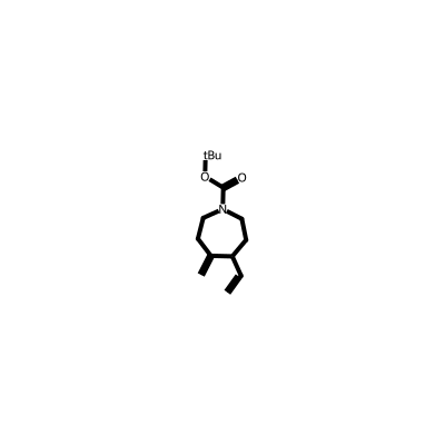 C=CC1CCN(C(=O)OC(C)(C)C)CCC1=C